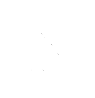 Cc1ccccc1[C@@H]1CN(c2nc(-c3ccncn3)cc(=O)n2C)CCO1